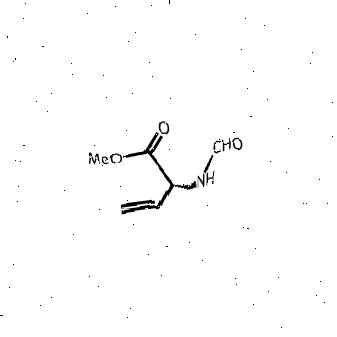 C=C[C@H](NC=O)C(=O)OC